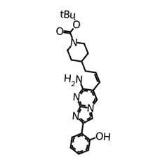 CC(C)(C)OC(=O)N1CCC(C/C=C\c2cn3cc(-c4ccccc4O)nc3nc2N)CC1